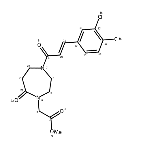 COC(=O)CN1CCN(C(=O)C=Cc2ccc(Cl)c(Cl)c2)CCC1=O